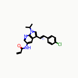 C=CC(=O)Nc1cnc2c(c1)c(/C=C/c1ccc(Cl)cc1)cn2C(C)C